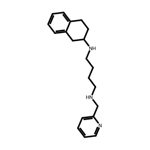 c1ccc(CNCCCCNC2CCc3ccccc3C2)nc1